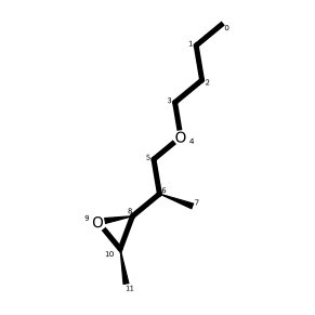 CCCCOC[C@@H](C)[C@@H]1O[C@@H]1C